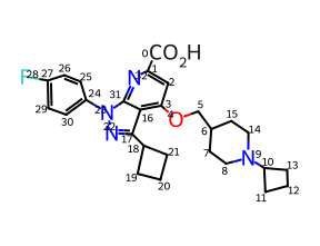 O=C(O)c1cc(OCC2CCN(C3CCC3)CC2)c2c(C3CCC3)nn(-c3ccc(F)cc3)c2n1